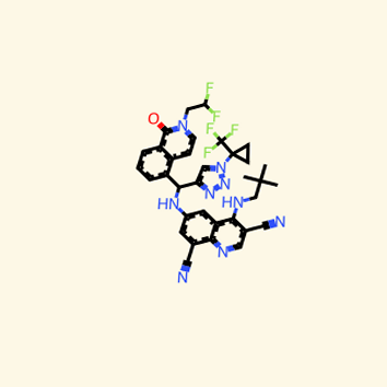 CC(C)(C)CNc1c(C#N)cnc2c(C#N)cc(NC(c3cn(C4(C(F)(F)F)CC4)nn3)c3cccc4c(=O)n(CC(F)F)ccc34)cc12